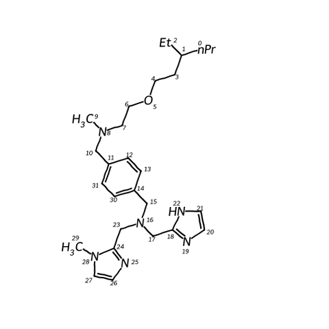 CCCC(CC)CCOCCN(C)Cc1ccc(CN(Cc2ncc[nH]2)Cc2nccn2C)cc1